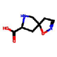 O=C(O)C1CC2(CC=NO2)CN1